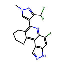 Cn1cc(-c2nc3c(F)cc4[nH]ncc4c3c3c2CCCC3)c(C(F)F)n1